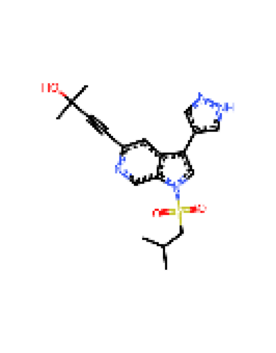 CC(C)CS(=O)(=O)n1cc(-c2cn[nH]c2)c2cc(C#CC(C)(C)O)ncc21